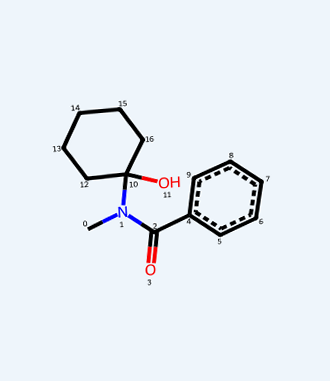 CN(C(=O)c1ccccc1)C1(O)CCCCC1